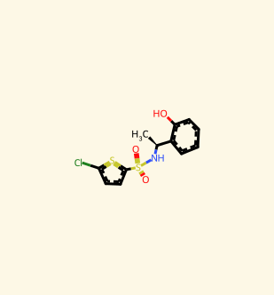 C[C@H](NS(=O)(=O)c1ccc(Cl)s1)c1ccccc1O